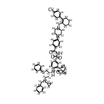 O=C(NS(=O)(=O)c1ccc(N[C@H](CCN(Cc2ccccc2)C2CC2)CSc2ccccc2)c(S(=O)(=O)C(F)(F)F)c1)c1ccc(N2CCN(CC3=C(c4ccc(Cl)cc4)CCCC3)CC2)cc1